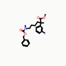 COC(=O)C(C)(CCCCN(C)C(=O)OCc1ccccc1)c1cccc(I)c1